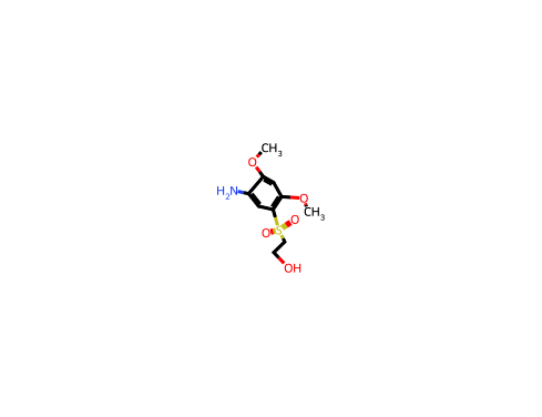 COc1cc(OC)c(S(=O)(=O)CCO)cc1N